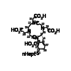 CCCCCCCSc1ccc(C[C@H]2CN(CC(=O)O)CCN(CC(=O)O)CCN(CC(=O)O)CCN2CC(=O)O)cc1